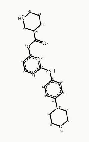 O=C(Oc1ccnc(Nc2ccc(N3CCOCC3)cc2)n1)C1CCCNC1